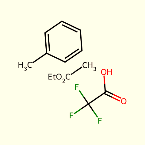 CCOC(C)=O.Cc1ccccc1.O=C(O)C(F)(F)F